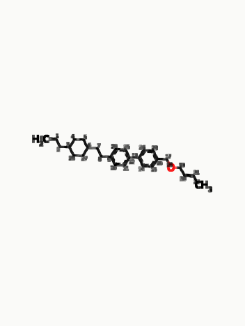 C=CCC1CCC(CCc2ccc(-c3ccc(COCC=CC)cc3)cc2)CC1